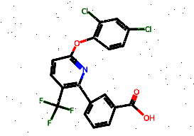 O=C(O)c1cccc(-c2nc(Oc3ccc(Cl)cc3Cl)ccc2C(F)(F)F)c1